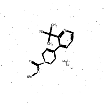 CC(C)(C)OC(=O)N1CC=C(c2cccnc2C(C)(C)O)CC1.[Cl-].[Cl-].[Mg+2]